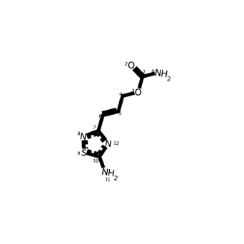 NC(=O)OCC=Cc1nsc(N)n1